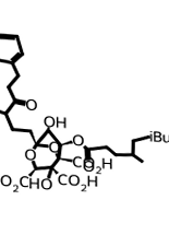 CCC(C)CC(C)CCC(=O)O[C@@H]1[C@@H](O)[C@@]2(CCC(C)C(=O)CCc3ccccc3)O[C@H](C(=O)O)[C@](O)(C(=O)O)[C@]1(C(=O)O)O2